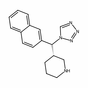 c1ccc2cc(C([C@H]3CCCNC3)n3cnnn3)ccc2c1